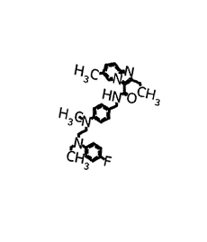 CCc1nc2ccc(C)cn2c1C(=O)NCc1ccc(N(C)CCN(CC)c2ccc(F)cc2)cc1